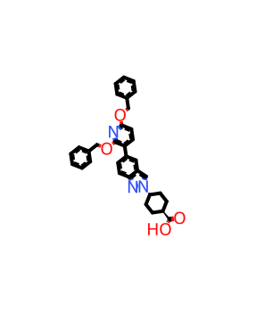 O=C(O)[C@H]1CC[C@H](n2cc3cc(-c4ccc(OCc5ccccc5)nc4OCc4ccccc4)ccc3n2)CC1